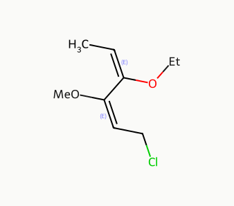 C/C=C(OCC)\C(=C/CCl)OC